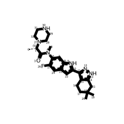 C[C@@H](C(=O)N(C)c1cc2[nH]c(-c3n[nH]c4c3CCC(C)(C)C4)cc2cc1F)N1CCNCC1